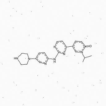 CC(C)n1cc(-c2ccnc(Nc3ccc(N4CCNCC4)cn3)n2)ccc1=O